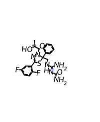 C[C@H](O)C(=O)N1N=C(c2cc(F)ccc2F)SC1(CN/C(N)=N/C(N)=O)c1ccccc1